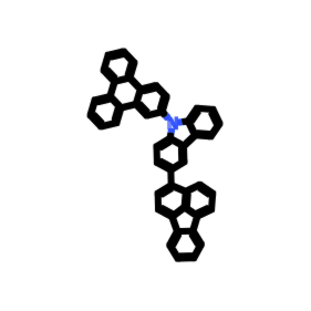 c1ccc2c(c1)-c1cccc3c(-c4ccc5c(c4)c4ccccc4n5-c4ccc5c6ccccc6c6ccccc6c5c4)ccc-2c13